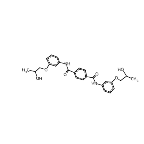 CC(O)COc1cccc(NC(=O)c2ccc(C(=O)Nc3cccc(OCC(C)O)c3)cc2)c1